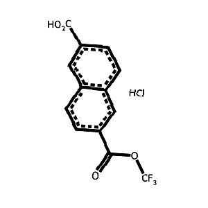 Cl.O=C(O)c1ccc2cc(C(=O)OC(F)(F)F)ccc2c1